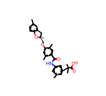 Cc1cc(NC(=O)c2cc(C)c(OC[C@@H]3Cc4cc(C)ccc4O3)cc2C)cc(C(C)(C)C(=O)O)c1